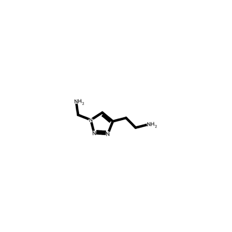 NCCc1cn(CN)nn1